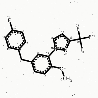 COc1ccc(Cc2ccc(F)cc2)cc1-n1ccc(C(F)(F)F)n1